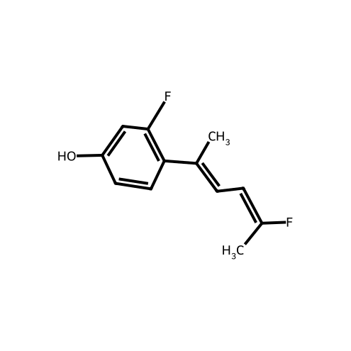 C/C(F)=C\C=C(/C)c1ccc(O)cc1F